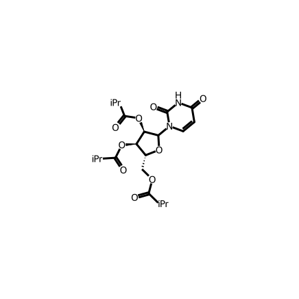 CC(C)C(=O)OC[C@H]1OC(n2ccc(=O)[nH]c2=O)[C@H](OC(=O)C(C)C)[C@@H]1OC(=O)C(C)C